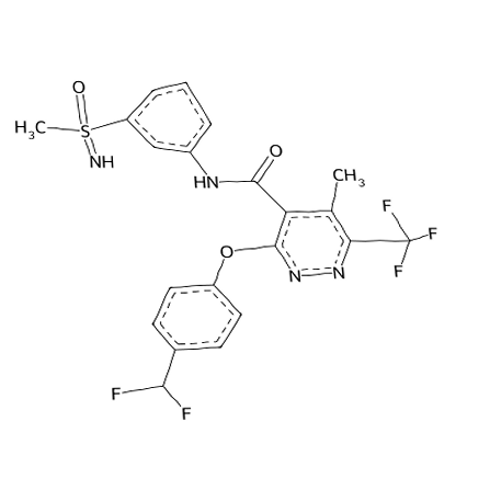 Cc1c(C(F)(F)F)nnc(Oc2ccc(C(F)F)cc2)c1C(=O)Nc1cccc(S(C)(=N)=O)c1